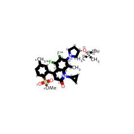 COS(=O)(=O)c1ccc(C)cc1-c1cc(=O)n(C2CC2)c2c(C)c(N3CC[C@H](O[Si](C)(C)C(C)(C)C)C3)c(F)c(F)c12